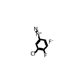 N#[N+]c1ccc(F)c(Cl)c1.[F-]